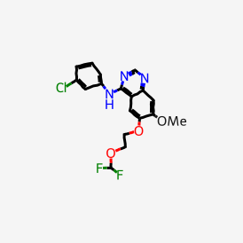 COc1cc2ncnc(Nc3cccc(Cl)c3)c2cc1OCCOC(F)F